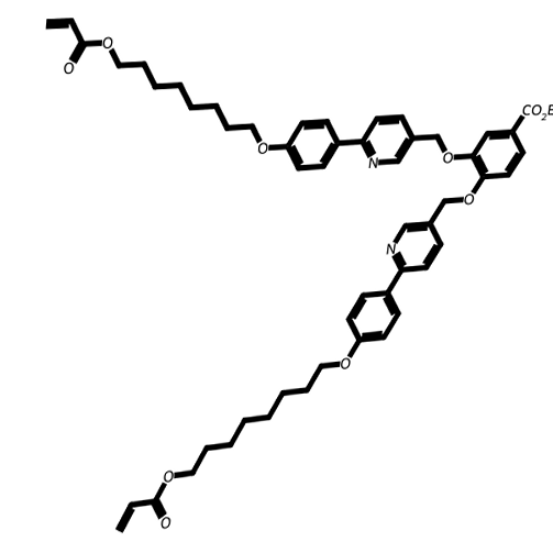 C=CC(=O)OCCCCCCCCOc1ccc(-c2ccc(COc3ccc(C(=O)OCC)cc3OCc3ccc(-c4ccc(OCCCCCCCCOC(=O)C=C)cc4)nc3)cn2)cc1